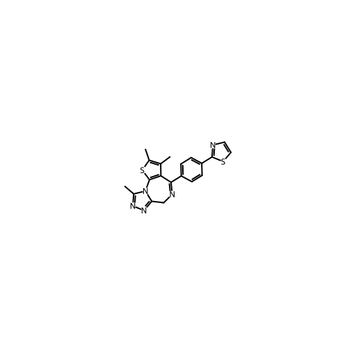 Cc1sc2c(c1C)C(c1ccc(-c3nccs3)cc1)=NCc1nnc(C)n1-2